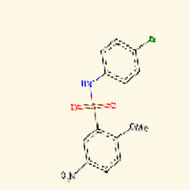 COc1ccc([N+](=O)[O-])cc1S(=O)(=O)Nc1ccc(Br)cc1